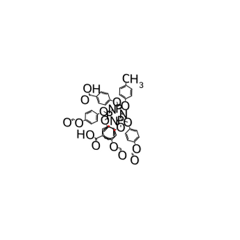 Cc1ccc(OP2(Oc3ccc(C(=O)O)cc3)=NP(Oc3ccc(OC=O)cc3)(Oc3ccc(C(=O)O)cc3)=NP(Oc3ccc(OC=O)cc3)(Oc3ccc(OC=O)cc3)=N2)cc1